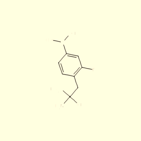 CC(N)(Cc1ccc(B(O)O)cc1F)C(=O)O